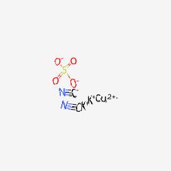 O=S(=O)([O-])[O-].[C-]#N.[C-]#N.[Cu+2].[K+].[K+]